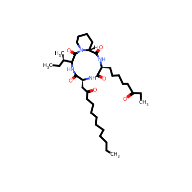 CCCCCCCCCCC(=O)C[C@@H]1NC(=O)[C@H](CCCCCC(=O)CC)NC(=O)[C@H]2CCCCN2C(=O)C([C@H](C)CC)NC1=O